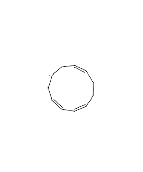 [CH]1CC=CC=CCCC=CC1